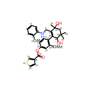 COc1ccccc1NCC1=C(c2ccc(OC(=O)c3ccsc3)cc2OC)C(O)C(C)(C)CC1(C)O